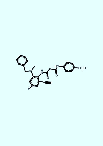 C#Cc1cc(F)cc(N(C)Cc2ccccc2)c1NC(=O)CC(=O)Nc1ccc(C(=O)OCC)cc1